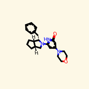 O=c1cc(N2CCOCC2)cc(N2C[C@@H]3CCC[C@@H]3[C@@H]2Cc2ccccc2)[nH]1